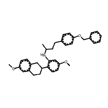 COc1ccc2c(c1)CCC(c1ccc(OC)cc1NC(C)CCc1ccc(OCc3ccccc3)cc1)C2